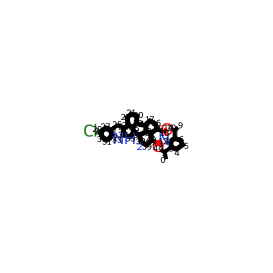 CC(C)c1cccc(C(C)C)c1N1C(=O)c2ccc3c4cccc5c(Cc6cc(Cl)ccc6N)ccc(c6ccc(c2c36)C1=O)c54